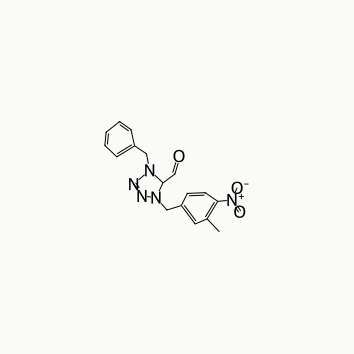 Cc1cc(CN2N=NN(Cc3ccccc3)C2C=O)ccc1[N+](=O)[O-]